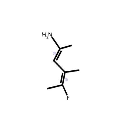 C/C(N)=C\C(C)=C(/C)F